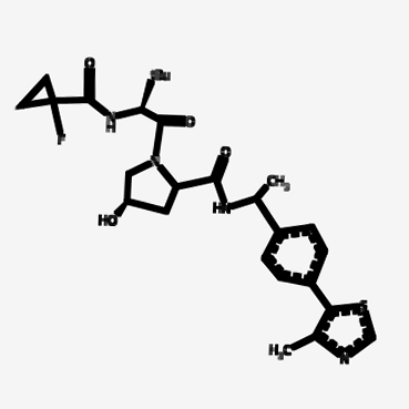 Cc1ncsc1-c1ccc(C(C)NC(=O)C2C[C@@H](O)CN2C(=O)[C@@H](NC(=O)C2(F)CC2)C(C)(C)C)cc1